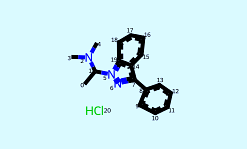 CC(N(C)C)n1nc(-c2ccccc2)c2ccccc21.Cl